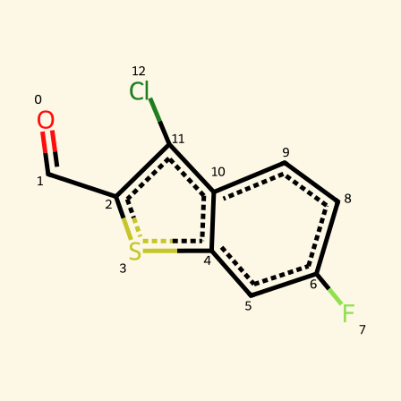 O=Cc1sc2cc(F)ccc2c1Cl